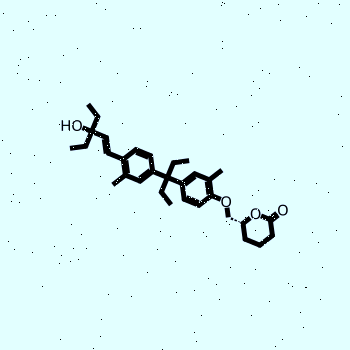 CCC(O)(C=Cc1ccc(C(CC)(CC)c2ccc(OC[C@H]3CCCC(=O)O3)c(C)c2)cc1C)CC